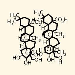 CC1(C)CC[C@]2(C(=O)O)CC[C@]3(C)C(=CC[C@@H]4[C@@]5(C)C[C@@H](O)[C@H](O)[C@@](C)(CO)[C@@H]5CC[C@]43C)[C@@H]2C1.CC1(C)CC[C@]2(C(=O)O)CC[C@]3(C)C(=CC[C@@H]4[C@@]5(C)C[C@@H](O)[C@H](O)[C@@](C)(CO)[C@@H]5CC[C@]43C)[C@@H]2C1